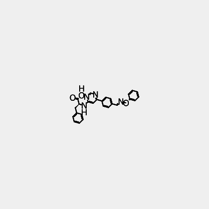 O=C(O)[C@H](Cc1ccccc1)Nc1cc(-c2ccc(/C=N/Oc3ccccc3)cc2)ncn1